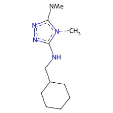 CNc1nnc(NCC2CCCCC2)n1C